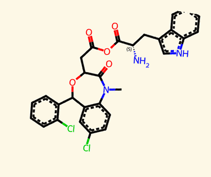 CN1C(=O)C(CC(=O)OC(=O)[C@@H](N)Cc2c[nH]c3ccccc23)OC(c2ccccc2Cl)c2cc(Cl)ccc21